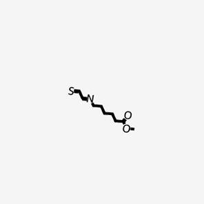 COC(=O)CCCCCN=CC=S